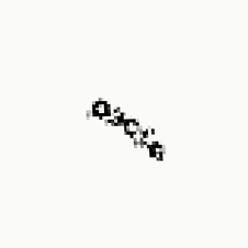 CC(C)(C1CCN(C(=O)Nc2cnoc2)CC1)S(=O)(=O)c1cccc(F)c1